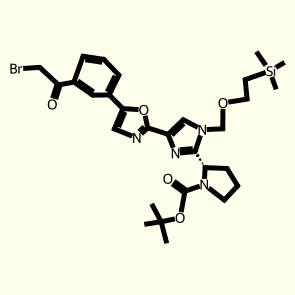 CC(C)(C)OC(=O)N1CCC[C@H]1c1nc(-c2ncc(-c3cccc(C(=O)CBr)c3)o2)cn1COCC[Si](C)(C)C